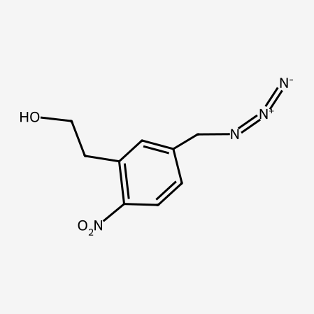 [N-]=[N+]=NCc1ccc([N+](=O)[O-])c(CCO)c1